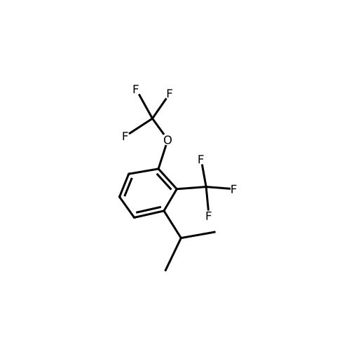 CC(C)c1cccc(OC(F)(F)F)c1C(F)(F)F